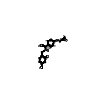 O=C(NCc1ccc(Cl)cc1Cl)c1ccc(NCC2CO2)cc1